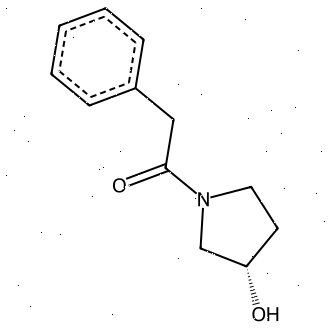 O=C(Cc1ccccc1)N1CC[C@H](O)C1